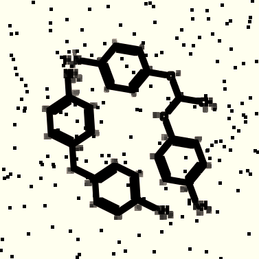 CC(Oc1ccc(N)cc1)Oc1ccc(N)cc1.Nc1ccc(Cc2ccc(N)cc2)cc1